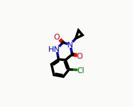 O=c1[nH]c2cccc(Cl)c2c(=O)n1C1CC1